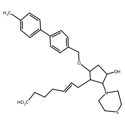 Cc1ccc(-c2ccc(COC3CC(O)C(N4CCSCC4)C3C/C=C/CCCC(=O)O)cc2)cc1